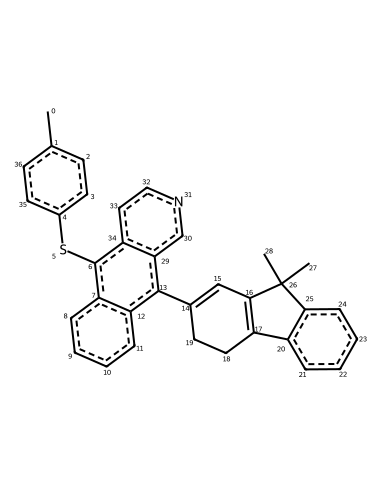 Cc1ccc(Sc2c3ccccc3c(C3=CC4=C(CC3)c3ccccc3C4(C)C)c3cnccc23)cc1